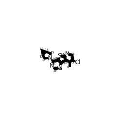 Cc1c(Cl)cnc2sc3c(N4CC5=CC5C4)ncnc3c12